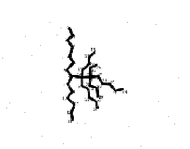 CCCCCCC[C](CCCCCC)C(CCCC)(CCCCC)C(CC)(CCC)CCCCC